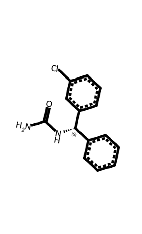 NC(=O)N[C@@H](c1ccccc1)c1cccc(Cl)c1